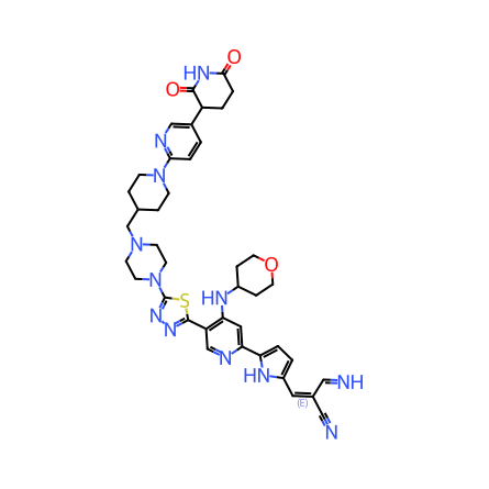 N#C/C(C=N)=C/c1ccc(-c2cc(NC3CCOCC3)c(-c3nnc(N4CCN(CC5CCN(c6ccc(C7CCC(=O)NC7=O)cn6)CC5)CC4)s3)cn2)[nH]1